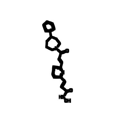 O=C(C=Cc1cccc(C=CC(=O)N2CCCC(c3ccccc3)CC2)n1)NO